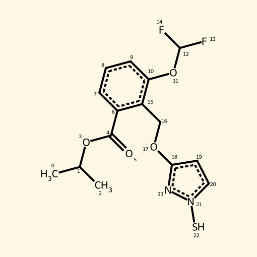 CC(C)OC(=O)c1cccc(OC(F)F)c1COc1ccn(S)n1